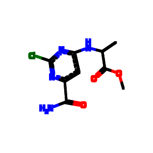 COC(=O)C(C)Nc1cc(C(N)=O)nc(Cl)n1